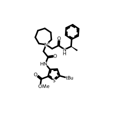 COC(=O)c1sc(C(C)(C)C)cc1NC(=O)C[N+]1(CC(=O)N[C@H](C)c2ccccc2)CCCCCC1